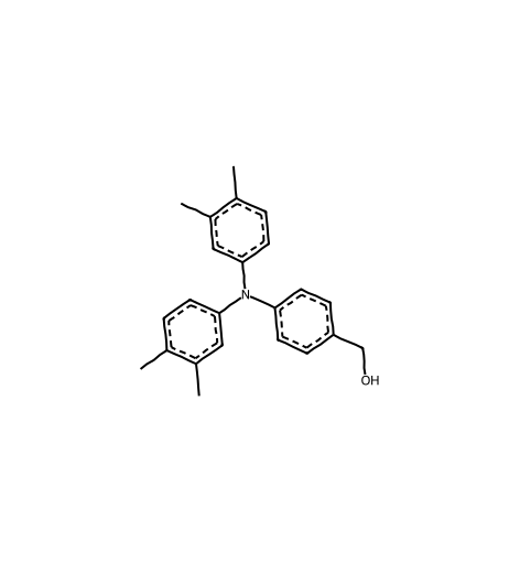 Cc1ccc(N(c2ccc(CO)cc2)c2ccc(C)c(C)c2)cc1C